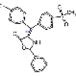 CS(=O)(=O)c1ccc(/C(=C2\NC(c3ccccc3)OC2=O)c2ccc(Cl)cc2)cc1